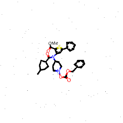 COC(=O)c1sc(-c2ccccc2)cc1N(C(=O)C1CCC(C)CC1)C1CCN(OC(=O)OCc2ccccc2)CC1